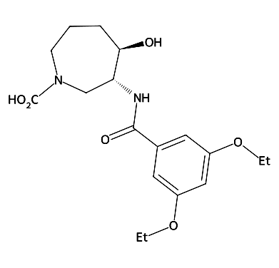 CCOc1cc(OCC)cc(C(=O)N[C@@H]2CN(C(=O)O)CCC[C@H]2O)c1